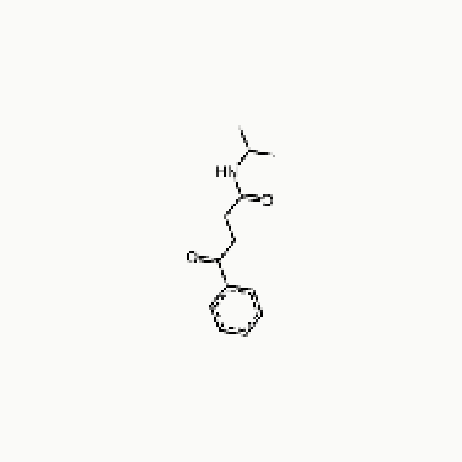 CC(C)NC(=O)CCC(=O)c1ccccc1